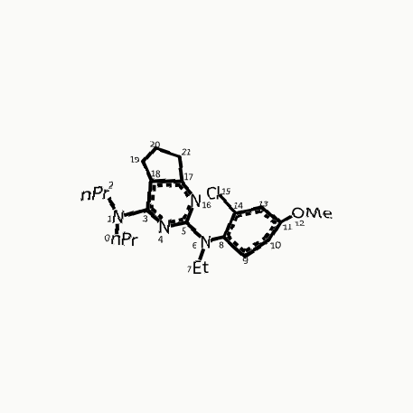 CCCN(CCC)c1nc(N(CC)c2ccc(OC)cc2Cl)nc2c1CCC2